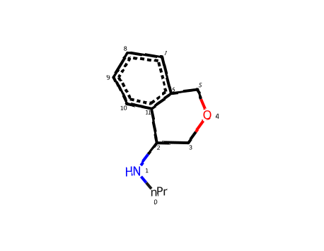 CCCNC1COCc2ccccc21